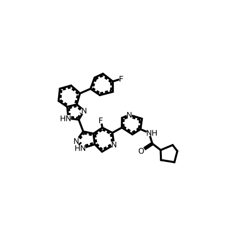 O=C(Nc1cncc(-c2ncc3[nH]nc(-c4nc5c(-c6ccc(F)cc6)cccc5[nH]4)c3c2F)c1)C1CCCC1